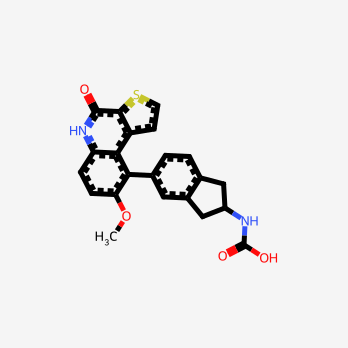 COc1ccc2[nH]c(=O)c3sccc3c2c1-c1ccc2c(c1)CC(NC(=O)O)C2